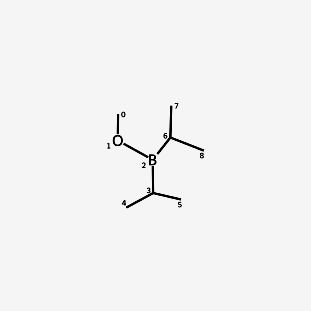 COB(C(C)C)C(C)C